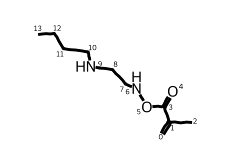 C=C(C)C(=O)ONCCNCCCC